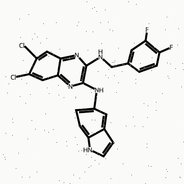 Fc1ccc(CNc2nc3cc(Cl)c(Cl)cc3nc2Nc2ccc3[nH]ccc3c2)cc1F